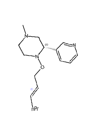 CCC/C=C/CON1CCN(C)C[C@@H]1c1cccnc1